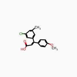 COc1ccc(/C(=C/C(=O)O)c2cc(C)cc(Cl)c2)cc1